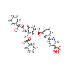 O=C(O)c1ccc(-c2cccc(OCc3ccc(COC(=O)c4ccccc4)c(COC(=O)c4ccccc4)c3)c2)nc1